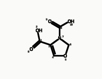 O=C(O)C1=COCN1C(=O)O